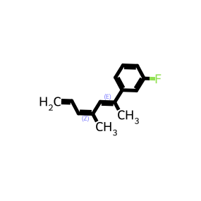 C=C/C=C(C)\C=C(/C)c1cccc(F)c1